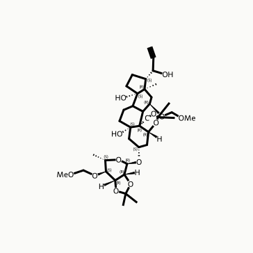 C#CC(O)[C@H]1CC[C@]2(O)C3CC[C@]4(O)C[C@@H](O[C@@H]5O[C@@H](C)[C@H](OCOC)[C@H]6OC(C)(C)O[C@@H]56)C[C@H]5OC(C)(C)OC[C@]54C3[C@H](OCOC)C[C@]12C